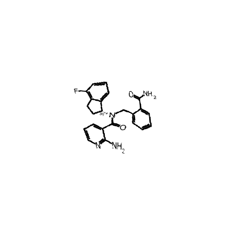 NC(=O)c1ccccc1CN(C(=O)c1cccnc1N)[C@@H]1CCc2c(F)cccc21